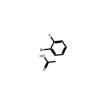 CC(=O)O.Fc1ccccc1Br